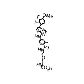 COc1ccc(-c2cnc3c(Nc4ccc(C(=O)NCCOCCNC(=O)O)c(C)c4)nccn23)c(F)c1F